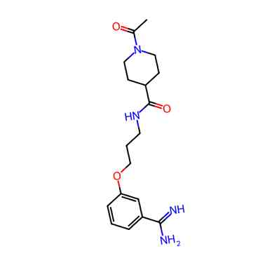 CC(=O)N1CCC(C(=O)NCCCOc2cccc(C(=N)N)c2)CC1